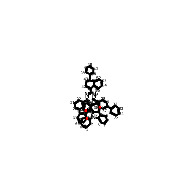 C1#CCC(n2c3ccccc3c3cccc(-n4c5c(c6cccc(-c7nc(-c8ccc(-c9ccccc9)cc8)nc(-c8ccc(-c9ccccc9)c9ccccc89)n7)c64)C=CCC5)c32)=C(c2ccccc2)C=C1